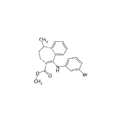 COC(=O)C1=C(Nc2cccc(Br)c2)c2ccccc2C(C)CC1